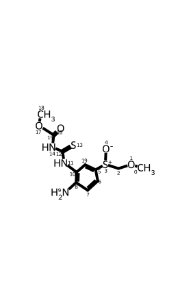 COC[S+]([O-])c1ccc(N)c(NC(=S)NC(=O)OC)c1